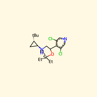 CC[Si](CC)(CC)OC(CN[C@H]1C[C@@H]1C(C)(C)C)c1c(Cl)cncc1Cl